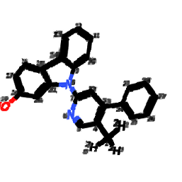 [2H]C([2H])([2H])c1cnc(-n2c3ccccc3c3ccc(O)cc32)cc1-c1ccccc1